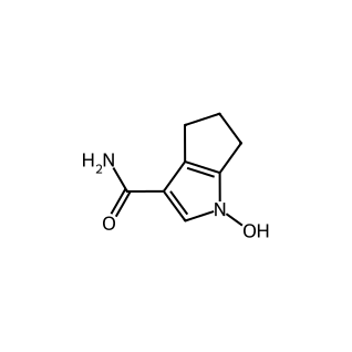 NC(=O)c1cn(O)c2c1CCC2